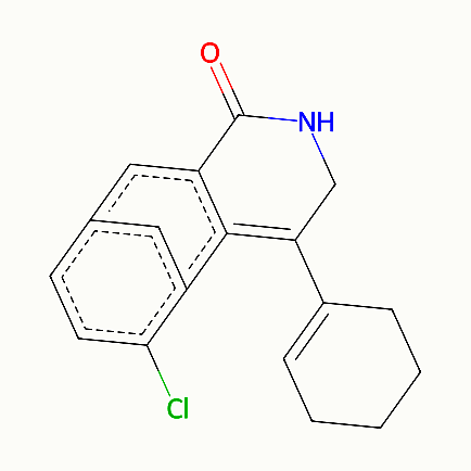 O=C1NCC(C2=CCCCC2)=c2c1cc1ccc(Cl)c2c1